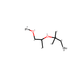 CC(C)OCC(C)OC(C)(C)CC(C)(C)C